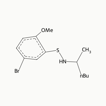 CCCCC(C)NSc1cc(Br)ccc1OC